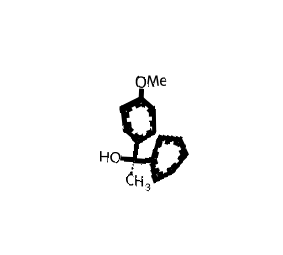 COc1ccc([C@](C)(O)c2ccccc2)cc1